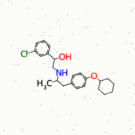 CC(Cc1ccc(OC2CCCCC2)cc1)NCC(O)c1cccc(Cl)c1